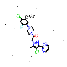 COc1cc(N2CCN(C(=O)Cn3nc(-c4ncccn4)c(Cl)c3C)CC2)c(F)cc1Cl